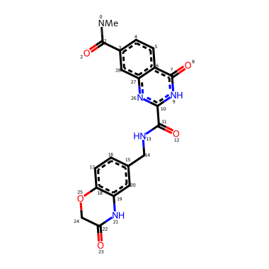 CNC(=O)c1ccc2c(=O)[nH]c(C(=O)NCc3ccc4c(c3)NC(=O)CO4)nc2c1